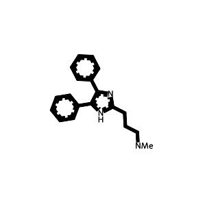 CNCCCc1nc(-c2ccccc2)c(-c2ccccc2)[nH]1